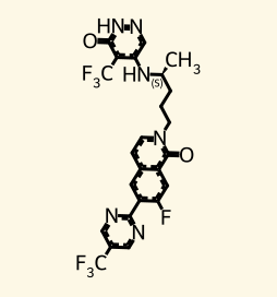 C[C@@H](CCCn1ccc2cc(-c3ncc(C(F)(F)F)cn3)c(F)cc2c1=O)Nc1cn[nH]c(=O)c1C(F)(F)F